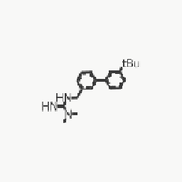 CN(C)C(=N)NCc1cccc(-c2cccc(C(C)(C)C)c2)c1